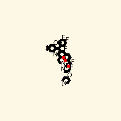 CN1CCC(Oc2cnc(N3CCC(c4nc5c(c(C6CCC(F)(F)CC6)c4C(F)c4ccc(C(F)(F)F)cc4)[C@@H](O)CC(C)(C)C5)CC3)nc2)CC1